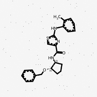 Cc1ccccc1Nc1nc(C(=O)N[C@H]2CCC[C@@H]2OCc2ccccc2)cs1